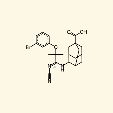 CC(C)(Oc1cccc(Br)c1)/C(=N/C#N)NC1C2CC3CC1CC(C(=O)O)(C3)C2